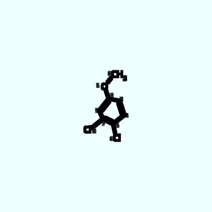 COc1ccc(Cl)c(Cl)c1